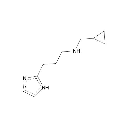 c1c[nH]c(CCCNCC2CC2)n1